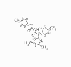 Cc1cc(C)n2nc(NC(=O)Cc3ccc(Cl)cc3)c(-c3ccc(C(F)(F)F)cc3)c2n1